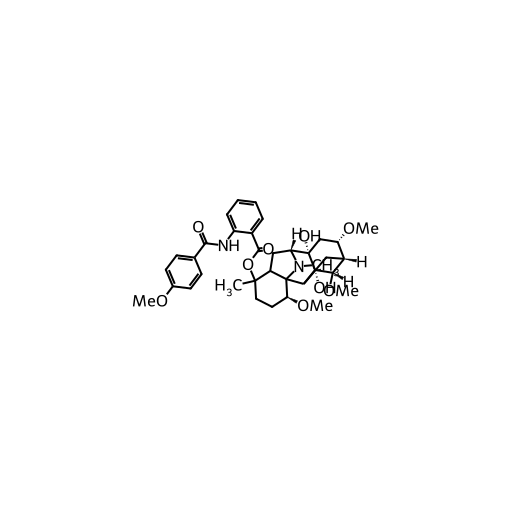 COc1ccc(C(=O)Nc2ccccc2C(=O)OC2(C)CC[C@H](OC)C34C2C[C@@H](N3C)[C@@]2(O)C[C@H](OC)[C@H]3CC4[C@]2(O)[C@H]3OC)cc1